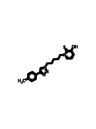 Cc1ccc(-c2cn(CCCCCn3cccc(O)c3=S)nn2)cc1